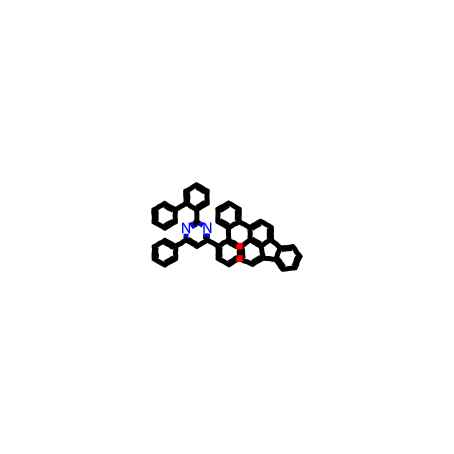 c1ccc(-c2cc(-c3ccccc3-c3ccccc3-c3ccc4c5c(cccc35)-c3ccccc3-4)nc(-c3ccccc3-c3ccccc3)n2)cc1